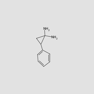 NC1(N)CC1c1ccccc1